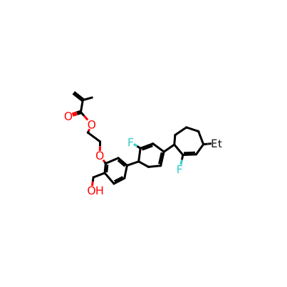 C=C(C)C(=O)OCCOc1cc(C2CC=C(C3CCCC(CC)C=C3F)C=C2F)ccc1CO